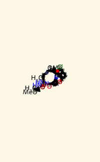 CO[C@H]1/C=C/C[C@H](C)C[S@@](=O)(NC(=O)N[C@@H]2C[C@]2(C)OC)=NC(=O)c2ccc3c(c2)N(C[C@@H]2CC[C@H]21)C[C@@]1(CCCc2cc(Cl)ccc21)CO3